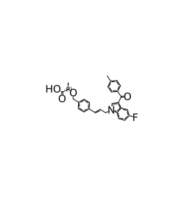 Cc1ccc(C(=O)c2cn(CC=Cc3ccc(CO[C@H](C)C(=O)O)cc3)c3ccc(F)cc23)cc1